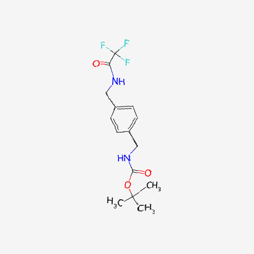 CC(C)(C)OC(=O)NCc1ccc(CNC(=O)C(F)(F)F)cc1